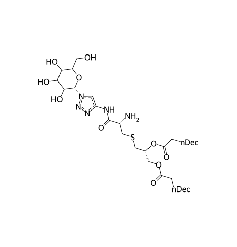 CCCCCCCCCCCC(=O)OC[C@H](CSC[C@@H](N)C(=O)Nc1cn([C@H]2OC(CO)C(O)C(O)C2O)nn1)OC(=O)CCCCCCCCCCC